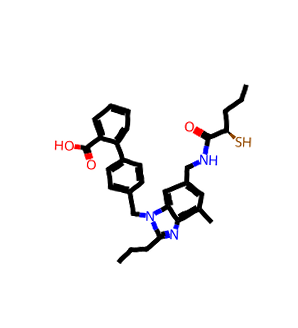 CCCc1nc2c(C)cc(CNC(=O)[C@H](S)CCC)cc2n1Cc1ccc(-c2ccccc2C(=O)O)cc1